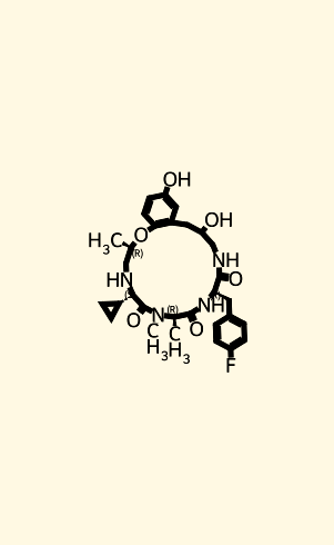 C[C@@H]1CN[C@@H](C2CC2)C(=O)N(C)[C@H](C)C(=O)N[C@H](Cc2ccc(F)cc2)C(=O)NCC(O)Cc2cc(O)ccc2O1